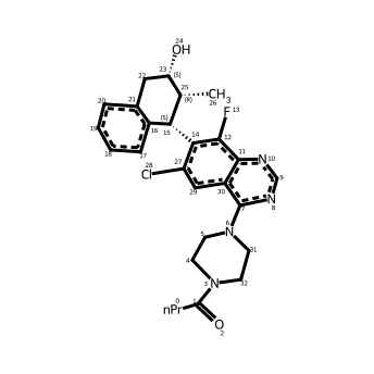 CCCC(=O)N1CCN(c2ncnc3c(F)c([C@@H]4c5ccccc5C[C@H](O)[C@@H]4C)c(Cl)cc23)CC1